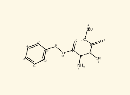 CC(C)(C)OC(=O)C(C#N)C(N)C(=O)OCc1ccccc1